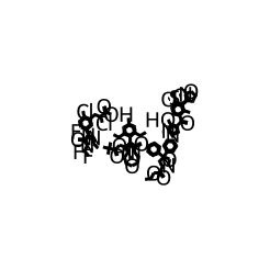 CCOC(=O)C1=NOC(c2ccccc2)(c2ccccc2)C1.CCc1cc(C)cc(CC)c1-c1c(OC(=O)C(C)(C)C)n2n(c1=O)CCOCC2.Cc1c(C(=O)c2cnn(C)c2O)ccc(S(C)(=O)=O)c1C1=NOCC1.Cc1nn(-c2cc(CC(Cl)C(=O)O)c(Cl)cc2F)c(=O)n1C(F)F